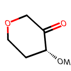 CO[C@@H]1CCOCC1=O